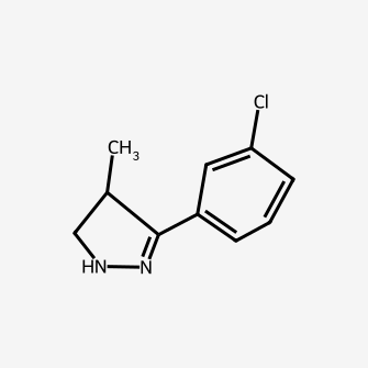 CC1CNN=C1c1cccc(Cl)c1